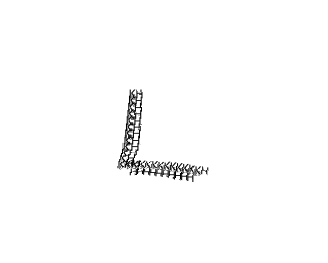 [KH].[KH].[KH].[KH].[KH].[KH].[KH].[KH].[KH].[KH].[KH].[KH].[KH].[KH].[KH].[KH].[KH].[KH].[KH].[KH].[KH].[KH].[KH].[KH]